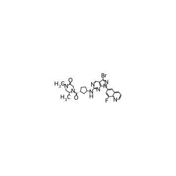 C[C@H]1CN(C)C(=O)CN1C(=O)[C@@H]1CC[C@@H](Nc2ncc3c(Br)nn(-c4cc(F)c5ncccc5c4)c3n2)C1